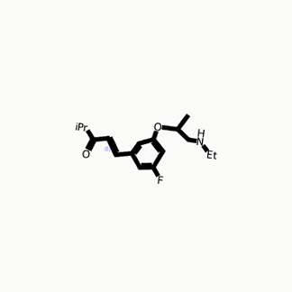 CCNCC(C)Oc1cc(F)cc(/C=C/C(=O)C(C)C)c1